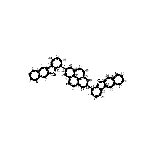 c1ccc2cc3c(cc2c1)sc1c(-c2cc4ccc5cc(-c6cccc7c6sc6cc8ccccc8cc67)cc6ccc(c2)c4c56)cccc13